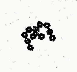 c1ccc(-c2ccc(-c3cccc(-c4cccc(-c5nc(-c6cccc(-c7cccc(-c8ccc(-c9ccccc9)cc8)c7)c6)c6c7ccccc7n(-c7ccccc7)c6n5)c4)c3)cc2)cc1